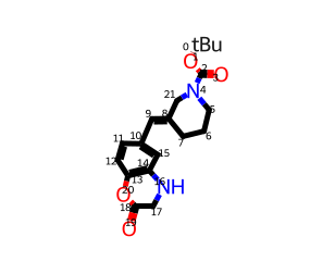 CC(C)(C)OC(=O)N1CCCC(=Cc2ccc3c(c2)NCC(=O)O3)C1